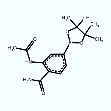 CC(=O)Nc1cc(B2OC(C)(C)C(C)(C)O2)ccc1C(N)=O